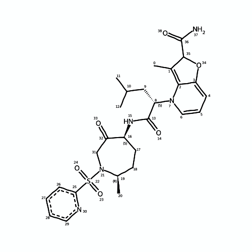 CC1=C2C(=CC=CN2[C@@H](CC(C)C)C(=O)N[C@H]2CC[C@@H](C)N(S(=O)(=O)c3ccccn3)CC2=O)OC1C(N)=O